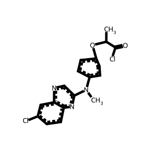 CC(Oc1ccc(N(C)c2cnc3cc(Cl)ccc3n2)cc1)C(=O)Cl